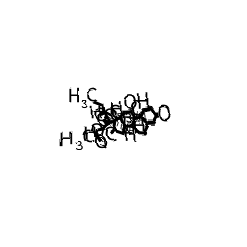 CCCC(=O)O[C@]1(C(=O)COC(C)=O)C(C)C[C@H]2[C@@H]3CCC4=CC(=O)C=C[C@]4(C)[C@@]3(F)C(O)C[C@@]21C